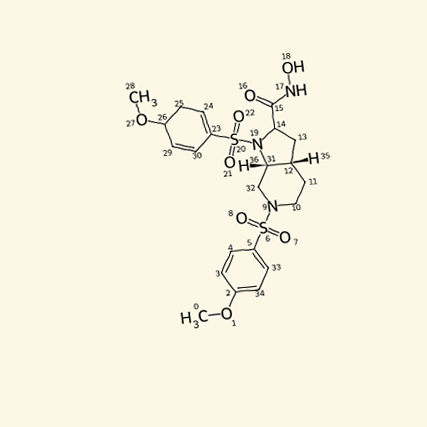 COc1ccc(S(=O)(=O)N2CC[C@H]3CC(C(=O)NO)N(S(=O)(=O)C4=CCC(OC)C=C4)[C@H]3C2)cc1